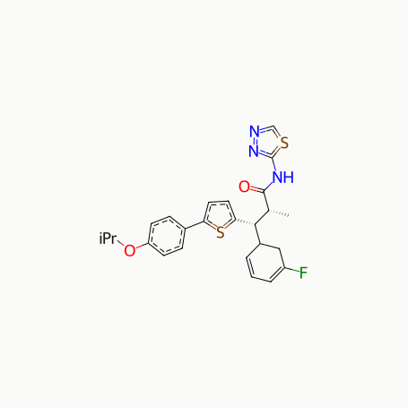 CC(C)Oc1ccc(-c2ccc([C@@H](C3C=CC=C(F)C3)[C@@H](C)C(=O)Nc3nncs3)s2)cc1